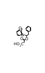 O=C(O)CC(=O)OC(Br)Cc1ccccc1.c1ccc2c(c1)CO2